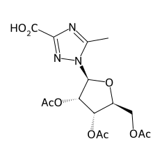 CC(=O)OC[C@@H]1O[C@H](n2nc(C(=O)O)nc2C)[C@@H](OC(C)=O)[C@H]1OC(C)=O